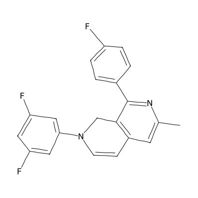 Cc1cc2c(c(-c3ccc(F)cc3)n1)CN(c1cc(F)cc(F)c1)C=C2